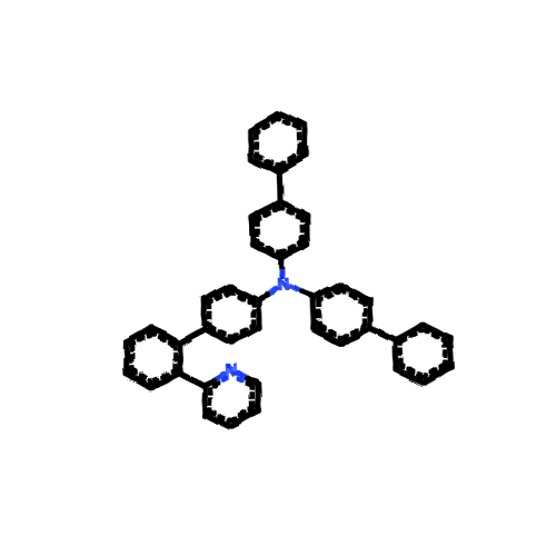 c1ccc(-c2ccc(N(c3ccc(-c4ccccc4)cc3)c3ccc(-c4ccccc4-c4ccccn4)cc3)cc2)cc1